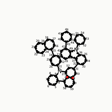 c1ccc(-c2ccccc2N(c2ccc(-c3cccc4ccccc34)cc2)c2cccc(-c3cccc4c3c3cccc(-c5ccccc5)c3n4-c3ccccc3)c2)cc1